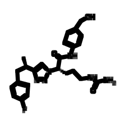 C[C@H](Cc1ccc(F)cc1)c1cn([C@@H](CCCNC(N)=O)C(=O)Nc2ccc(CO)cc2)nn1